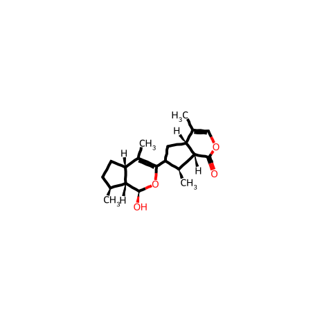 CC1=COC(=O)[C@H]2[C@@H]1CC(C1=C(C)[C@H]3CC[C@H](C)[C@H]3[C@H](O)O1)[C@@H]2C